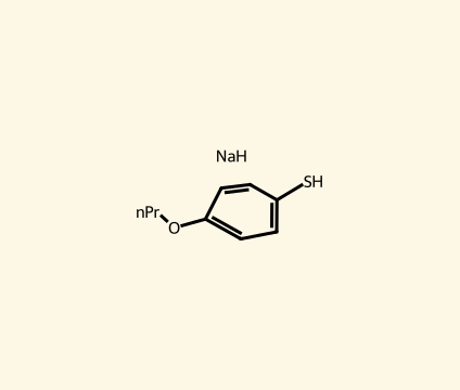 CCCOc1ccc(S)cc1.[NaH]